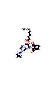 CCCCCCCCCCCCCCCC(=O)OC(CN1CCN(c2ncccn2)CC1)CN1C(=O)[C@H]2CC=CC[C@H]2C1=O